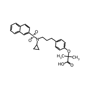 CC(C)(Oc1ccc(CCCN(C2CC2)S(=O)(=O)c2ccc3ccccc3c2)cc1)C(=O)O